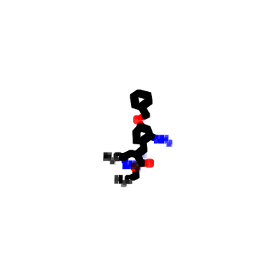 C=C(N)C/C(=C\c1ccc(OCc2ccccc2)cc1N)C(=O)OCC